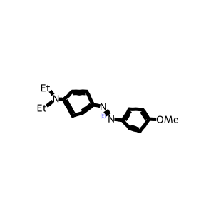 CCN(CC)c1ccc(/N=N/c2ccc(OC)cc2)cc1